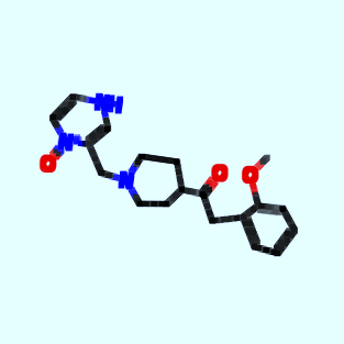 COc1ccccc1CC(=O)C1CCN(Cc2c[nH]cc[n+]2=O)CC1